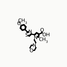 COc1ccc(-c2nc(-c3cc(C(=O)O)c(C)n3CCN3CCOCC3)cs2)cc1